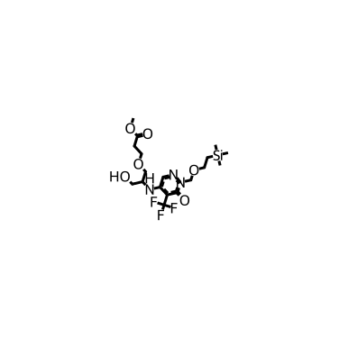 COC(=O)CCOCC(CO)Nc1cnn(COCC[Si](C)(C)C)c(=O)c1C(F)(F)F